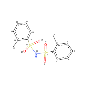 Cc1ccccc1S(=O)(=O)NS(=O)(=O)c1ccccc1C